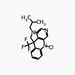 CC(C)CNCC1(C(F)(F)F)c2ccccc2N(Cl)c2cnccc21